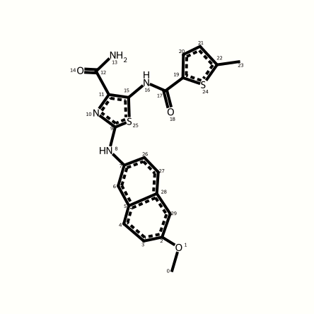 COc1ccc2cc(Nc3nc(C(N)=O)c(NC(=O)c4ccc(C)s4)s3)ccc2c1